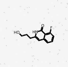 O=c1[nH]c(CCCO)cc2cccc(F)c12